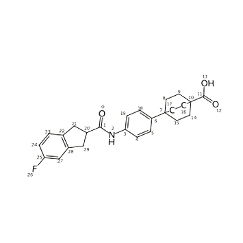 O=C(Nc1ccc(C23CCC(C(=O)O)(CC2)CC3)cc1)C1Cc2ccc(F)cc2C1